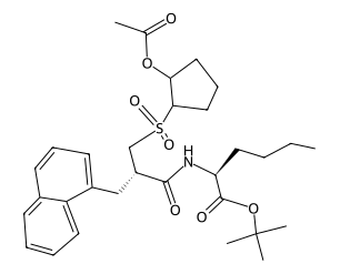 CCCC[C@H](NC(=O)[C@H](Cc1cccc2ccccc12)CS(=O)(=O)C1CCCC1OC(C)=O)C(=O)OC(C)(C)C